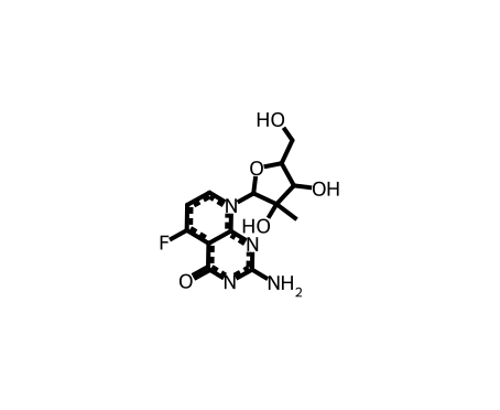 CC1(O)C(O)C(CO)OC1n1ccc(F)c2c(=O)nc(N)nc1-2